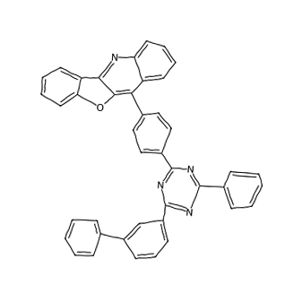 c1ccc(-c2cccc(-c3nc(-c4ccccc4)nc(-c4ccc(-c5c6ccccc6nc6c5oc5ccccc56)cc4)n3)c2)cc1